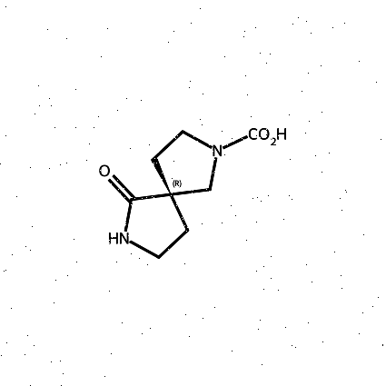 O=C(O)N1CC[C@]2(CCNC2=O)C1